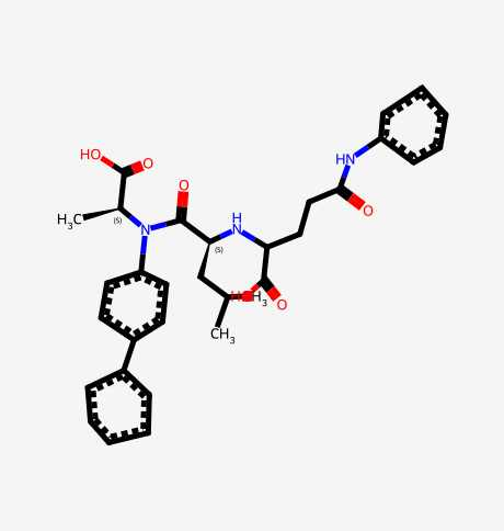 CC(C)C[C@H](NC(CCC(=O)Nc1ccccc1)C(=O)O)C(=O)N(c1ccc(-c2ccccc2)cc1)[C@@H](C)C(=O)O